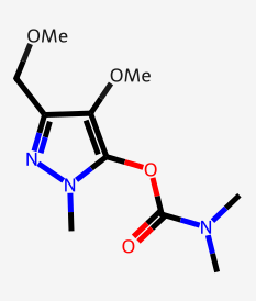 COCc1nn(C)c(OC(=O)N(C)C)c1OC